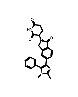 Cc1nc(-c2ccc3c(c2)CN(C2CCC(=O)NC2=O)C3=O)c(-c2ccccc2)n1C